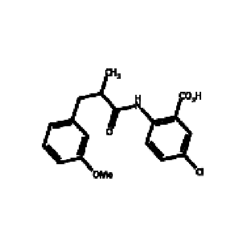 COc1cccc(CC(C)C(=O)Nc2ccc(Cl)cc2C(=O)O)c1